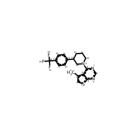 Cc1csc2ncnc(N3CCCC(c4ccc(C(F)(F)F)cc4)C3)c12